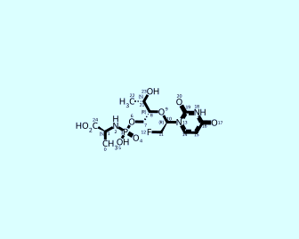 C[C@H](NP(=O)(O)OC[C@@H](O[C@H](CF)n1ccc(=O)[nH]c1=O)[C@H](C)O)C(=O)O